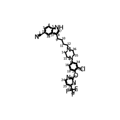 N#Cc1ccc2[nH]cc(CCCCN3CCN(c4ccc(Oc5nccc(C(F)(F)F)n5)c(Cl)c4)CC3)c2c1